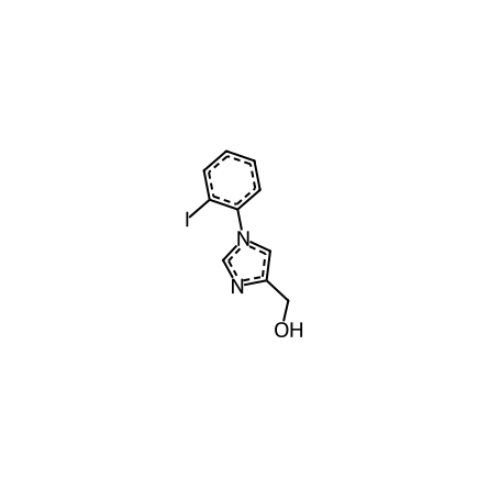 OCc1cn(-c2ccccc2I)cn1